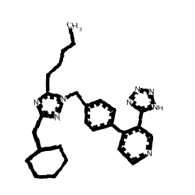 CCCCCc1nc(CC2CCCCC2)nn1Cc1ccc(-c2ccncc2-c2nnn[nH]2)cc1